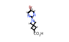 O=C(O)C1CC2(C1)CN(c1ncc(Br)cn1)C2